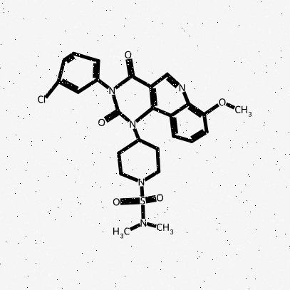 COc1cccc2c1ncc1c(=O)n(-c3cccc(Cl)c3)c(=O)n(C3CCN(S(=O)(=O)N(C)C)CC3)c12